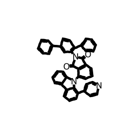 O=C1c2cccc(-n3c4ccccc4c4cccc(-c5ccncc5)c43)c2C(=O)N1c1cc(-c2ccccc2)ccc1-c1ccccc1